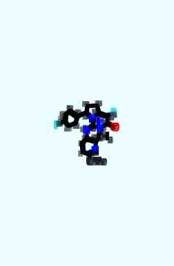 COc1ccc(/N=c2\[nH]c(=O)c(F)c3n2C(C2=CC=C(F)CC2)CC3)c(C)n1